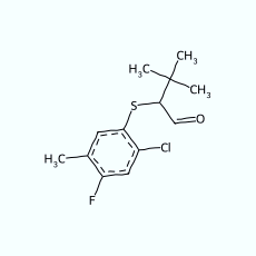 Cc1cc(SC(C=O)C(C)(C)C)c(Cl)cc1F